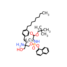 CCCCCCCCc1ccc(CCC(N)(CO)COP(=O)(N[C@H](C)C(=O)OCC(C)(C)C)Oc2cccc3ccccc23)cc1